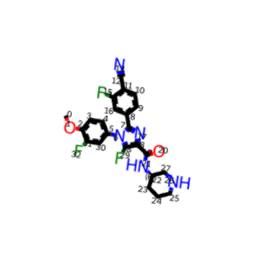 COc1ccc(-n2c(-c3ccc(C#N)c(F)c3)nc(C(=O)N[C@@H]3CCCNC3)c2F)cc1F